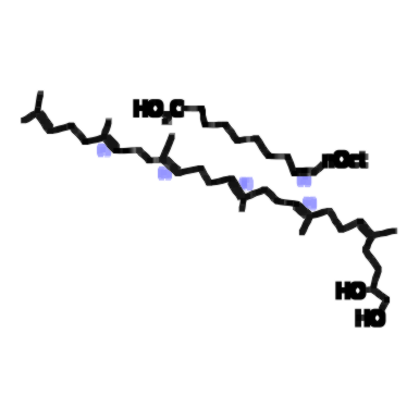 CC(C)=CCC/C(C)=C/CC/C(C)=C/CC/C=C(\C)CC/C=C(\C)CCC=C(C)CCC(O)CO.CCCCCCCC/C=C\CCCCCCCC(=O)O